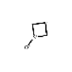 [O-][S+]1C[CH]C1